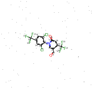 O=Cc1cn(-c2c(Cl)cc(C(F)(F)F)cc2Cl)c(=O)cc1C(F)(F)F